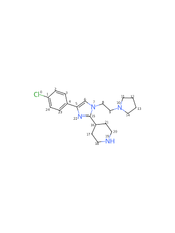 Clc1ccc(-c2cn(CCN3CCCC3)c(C3CCNCC3)n2)cc1